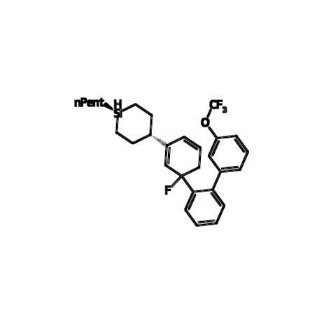 CCCCC[Si@H]1CC[C@H](C2=CC(F)(c3ccccc3-c3cccc(OC(F)(F)F)c3)CC=C2)CC1